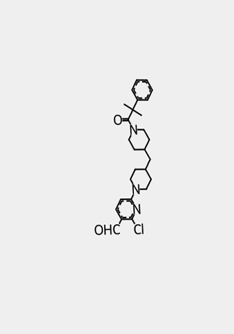 CC(C)(C(=O)N1CCC(CC2CCN(c3ccc(C=O)c(Cl)n3)CC2)CC1)c1ccccc1